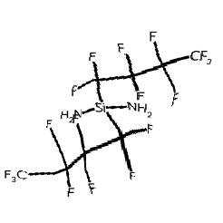 N[Si](N)(C(F)(F)C(F)(F)C(F)(F)C(F)(F)F)C(F)(F)C(F)(F)C(F)(F)C(F)(F)F